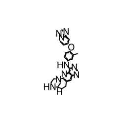 Cc1cc(Nc2ncnc3cc4c(nc23)N2CCN[C@H](CC4)C2)ccc1Oc1ccn2ncnc2c1